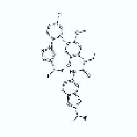 CCC(C(=O)Nc1ccc2nn(C(F)F)cc2c1)n1cc(OC)c(-c2cc(Cl)ccc2-n2cc(C(F)F)nn2)cc1=O